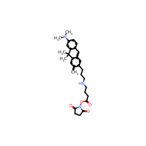 C=c1cc2c(cc1CCCNCCCC(=O)ON1C(=O)CCC1=O)=Cc1ccc(N(C)C)cc1C2(C)C